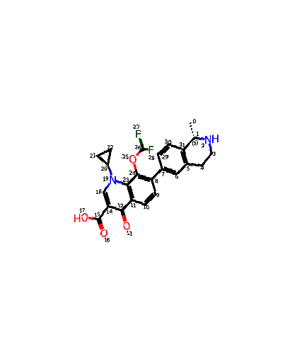 C[C@@H]1NCCc2cc(-c3ccc4c(=O)c(C(=O)O)cn(C5CC5)c4c3OC(F)F)ccc21